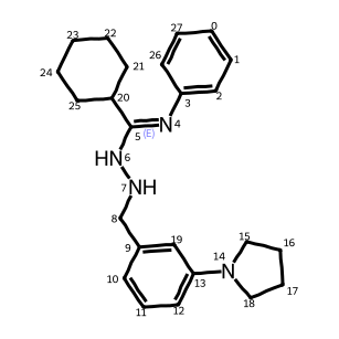 c1ccc(/N=C(/NNCc2cccc(N3CCCC3)c2)C2CCCCC2)cc1